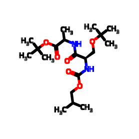 CC(C)COC(=O)N[C@H](COC(C)(C)C)C(=O)NC(C)C(=O)OC(C)(C)C